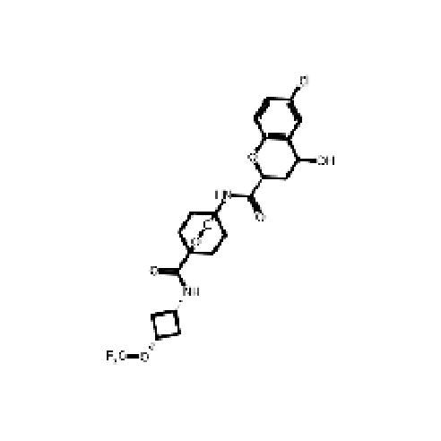 O=C(NC12CCC(C(=O)N[C@H]3C[C@@H](OC(F)(F)F)C3)(CC1)OC2)[C@@H]1C[C@H](O)c2cc(Cl)ccc2O1